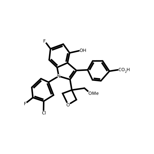 COCC1(c2c(-c3ccc(C(=O)O)cc3)c3c(O)cc(F)cc3n2-c2ccc(F)c(Cl)c2)COC1